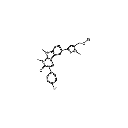 CCOCc1cc(-c2ccc3c(c2)c2cc(-c4ccc(Br)cc4)c(=O)n(C)c2n3C)nn1C